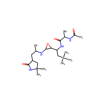 CC1(C)CC(CC(C#N)NC2OC2C(C[Si](C)(C)C)NC(=O)C(NC(=O)C(F)(F)F)C(C)(C)C)C(=O)N1